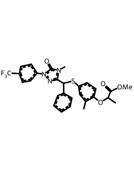 COC(=O)C(C)Oc1ccc(SC(c2ccccc2)c2nn(-c3ccc(C(F)(F)F)cc3)c(=O)n2C)cc1C